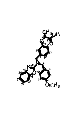 COc1ccc(CN(Cc2cccc(OC(C)C(=O)O)c2)c2nc3ccccc3o2)cc1